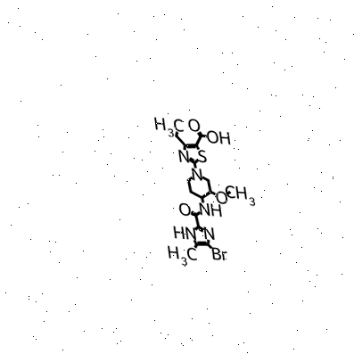 CCc1nc(N2CCC(NC(=O)c3nc(Br)c(C)[nH]3)C(OC)C2)sc1C(=O)O